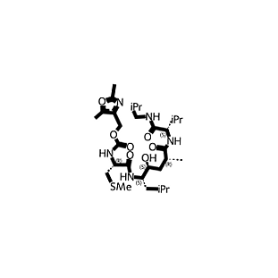 CSC[C@H](NC(=O)OCc1nc(C)oc1C)C(=O)N[C@@H](CC(C)C)[C@@H](O)C[C@@H](C)C(=O)N[C@H](C(=O)NCC(C)C)C(C)C